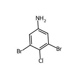 Nc1cc(Br)c(Cl)c(Br)c1